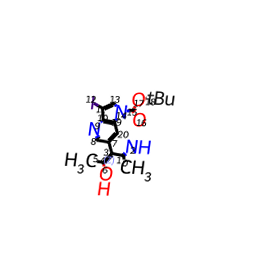 CC(=N)/C(=C(/C)O)c1cnc2c(I)cn(C(=O)OC(C)(C)C)c2c1